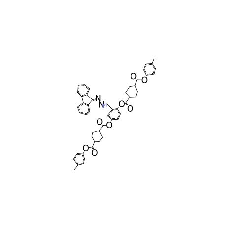 Cc1ccc(OC(=O)C2CCC(C(=O)Oc3ccc(OC(=O)C4CCC(C(=O)Oc5ccc(C)cc5)CC4)c(/C=N/N=C4c5ccccc5-c5ccccc54)c3)CC2)cc1